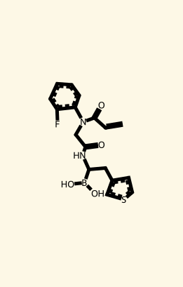 C=CC(=O)N(CC(=O)NC(Cc1ccsc1)B(O)O)c1ccccc1F